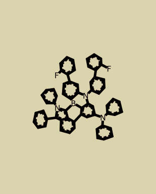 Fc1ccccc1-c1cccc(N2c3cc(-c4ccccc4F)ccc3B3c4c(cc(N(c5ccccc5)c5ccccc5)cc42)-c2cccc4c(-c5ccccc5)n(-c5ccccc5)c3c24)c1